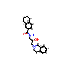 O=C(NC[C@H](O)CN1CCc2ccccc2C1)c1ccc2c(c1)CCCC2